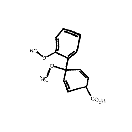 N#COc1ccccc1C1(OC#N)C=CC(C(=O)O)C=C1